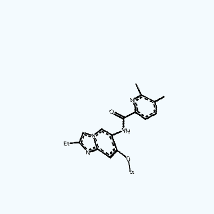 CCOc1cc2nc(CC)cn2cc1NC(=O)c1ccc(C)c(C)n1